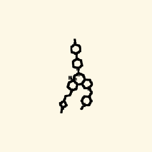 CN1CCC(CN2CCC3C[C@@H](N4CCC(C5CCN(C)CC5)CC4)C[C@@H]4CCN(CCC5CN(C)C5)CC4C3C2)CC1